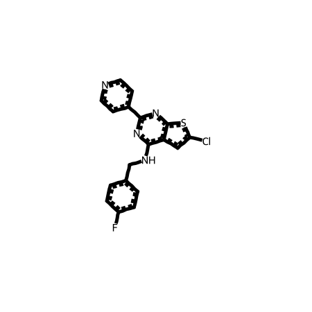 Fc1ccc(CNc2nc(-c3ccncc3)nc3sc(Cl)cc23)cc1